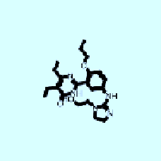 CCCOc1ccc(NC2=NCCN2CCO)cc1-c1nc(CC)c(CC)c(=O)[nH]1